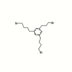 BrCCCCc1cc(CCCBr)cc(CCCCBr)c1